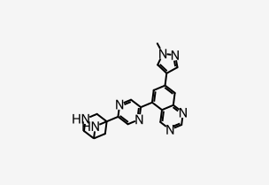 Cn1cc(-c2cc(-c3cnc(C45CNCC(C4)N5)cn3)c3cncnc3c2)cn1